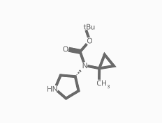 CC(C)(C)OC(=O)N([C@@H]1CCNC1)C1(C)CC1